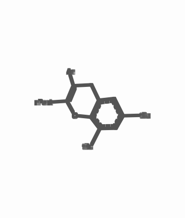 CCCCCC1=C(C(C)=O)Cc2cc(C(C)(C)C)cc(C(C)(C)C)c2O1